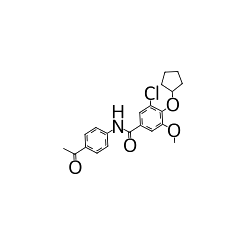 COc1cc(C(=O)Nc2ccc(C(C)=O)cc2)cc(Cl)c1OC1CCCC1